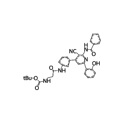 CC(C)(C)OC(=O)NCCC(=O)Nc1cccc(-c2cc(-c3ccccc3O)nc(NC(=O)c3ccccc3)c2C#N)c1